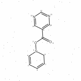 O=C(ON1C=CC=CC1)c1cncnc1